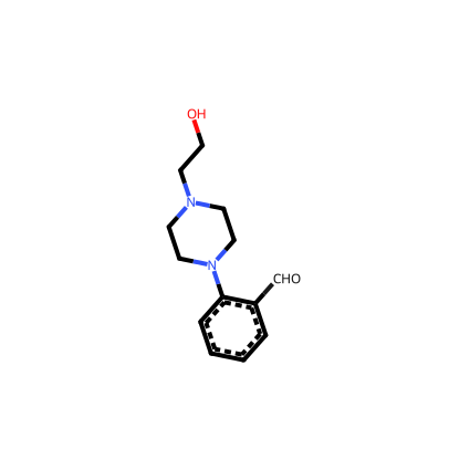 O=Cc1ccccc1N1CCN(CCO)CC1